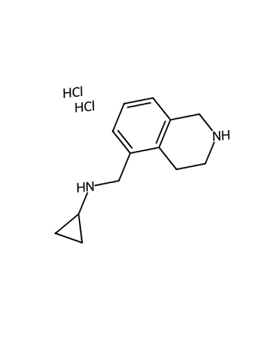 Cl.Cl.c1cc2c(c(CNC3CC3)c1)CCNC2